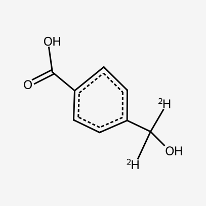 [2H]C([2H])(O)c1ccc(C(=O)O)cc1